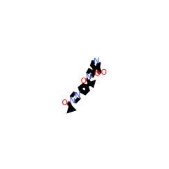 O=C1OC2(CCN(C(=O)C3(c4ccc(N5CCN(C(=O)C6CC6)CC5)cc4)CC3)C2)c2ccncc21